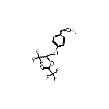 C=Cc1ccc(OCC(OC(=O)C(F)(F)F)C(F)(F)F)cc1